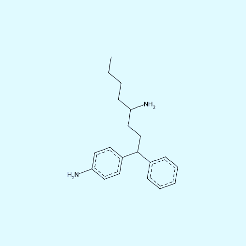 CCCCC(N)CCC(c1ccccc1)c1ccc(N)cc1